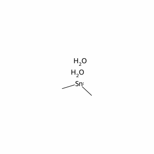 O.O.[CH3][Sn][CH3]